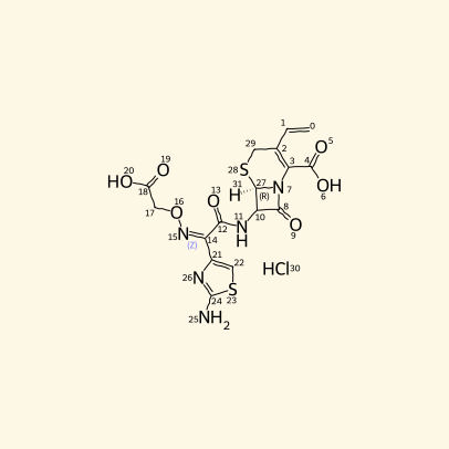 C=CC1=C(C(=O)O)N2C(=O)C(NC(=O)/C(=N\OCC(=O)O)c3csc(N)n3)[C@H]2SC1.Cl